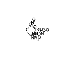 COc1ccc2c(O[C@@H]3C[C@H]4C(=O)N[C@]5(C(N)=O)C[C@H]5/C=C\CCCCC[C@H](CC(=O)N5CCOCC5)C(=O)N4C3)cc(-c3ccccc3)nc2c1